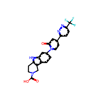 O=C(O)N1CCc2[nH]c3cc(-n4ccc(-c5ccc(C(F)(F)F)nn5)cc4=O)ccc3c2C1